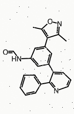 Cc1noc(C)c1-c1cc(NC=O)cc(-c2cccnc2-c2ccccc2)c1